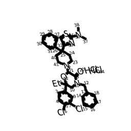 CCC1(c2ccc(Cl)c(Cl)c2)CN(Cc2ccccc2)C(=O)C(N2CCC(c3ccccc3)(c3csc(N(C)C)n3)CC2)O1.Cl.Cl